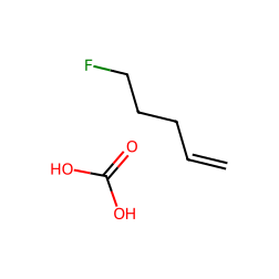 C=CCCCF.O=C(O)O